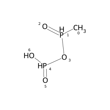 C[PH](=O)O[PH](=O)O